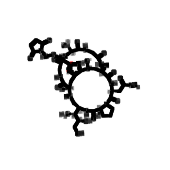 CC[C@H](C)[C@@H]1NC(=O)CNC(=O)[C@H]2Cc3c([nH]c4cc(OBN5C(=O)C=CC5=O)ccc34)[S+]([O-])C[C@H](NC(=O)CNC1=O)C(=O)N[C@@H](CC(N)=O)C(=O)N1CCC[C@H]1C(=O)N[C@@H]([C@@H](C)[C@@H](O)CO)CN2